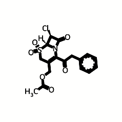 CC(=O)OCC1=C(C(=O)Cc2ccccc2)N2C(=O)[C@H](Cl)[C@@H]2S(=O)(=O)C1